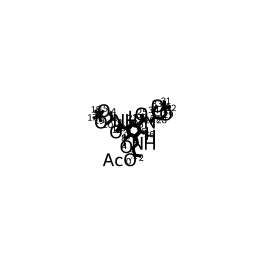 CC(=O)O[C@@H](C)C(=O)Nc1c(I)c(C(=O)NC2COC(C)(C)OC2)c(I)c(C(=O)NC2COC(C)(C)OC2)c1I